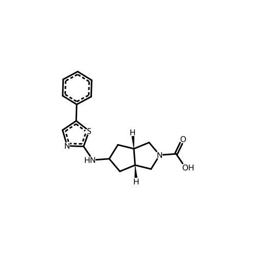 O=C(O)N1C[C@H]2CC(Nc3ncc(-c4ccccc4)s3)C[C@H]2C1